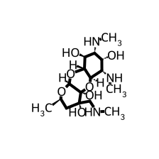 CNC[C@@]1(O)C[C@@H](C)O[C@H]2O[C@@H]3[C@@H](O)[C@H](NC)[C@H](O)[C@H](NC)[C@H]3O[C@]21O